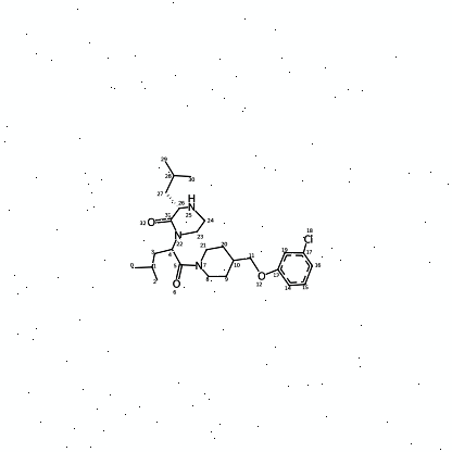 CC(C)CC(C(=O)N1CCC(COc2cccc(Cl)c2)CC1)N1CCN[C@@H](CC(C)C)C1=O